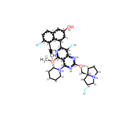 C#Cc1c(F)ccc2cc(O)cc(-c3nc(OC)c4c(N5CCCCC5)nc(OC[C@@]56CCCN5C[C@H](F)C6)nc4c3F)c12